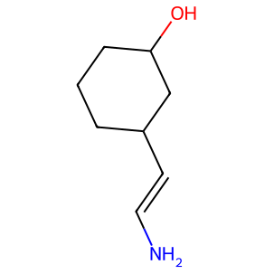 NC=CC1CCCC(O)C1